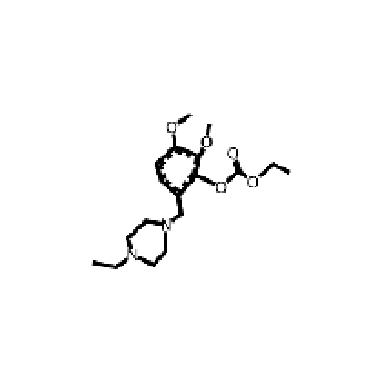 CCOC(=O)Oc1c(CN2CCN(CC)CC2)ccc(OC)c1OC